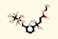 CCOC(=O)/C=C/C(C)(C)c1cccc(CO[Si](C)(C)C(C)(C)C)n1